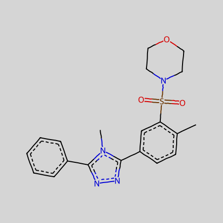 Cc1ccc(-c2nnc(-c3ccccc3)n2C)cc1S(=O)(=O)N1CCOCC1